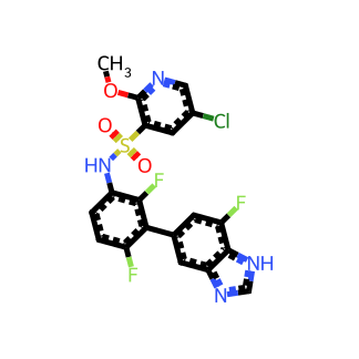 COc1ncc(Cl)cc1S(=O)(=O)Nc1ccc(F)c(-c2cc(F)c3[nH]cnc3c2)c1F